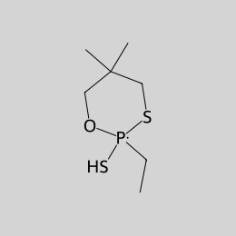 CC[P]1(S)OCC(C)(C)CS1